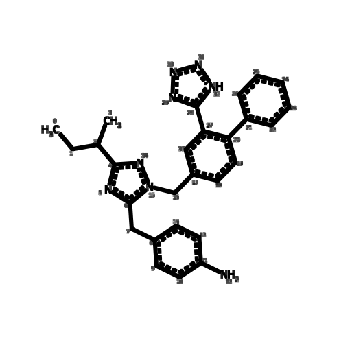 CCC(C)c1nc(Cc2ccc(N)cc2)n(Cc2ccc(-c3ccccc3)c(-c3nnn[nH]3)c2)n1